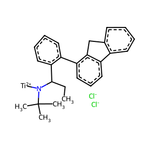 CCC(c1ccccc1-c1cccc2c1Cc1ccccc1-2)[N]([Ti+2])C(C)(C)C.[Cl-].[Cl-]